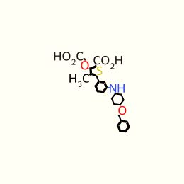 Cc1c(-c2cccc(NC3CCC(OCc4ccccc4)CC3)c2)sc(C(=O)O)c1OCC(=O)O